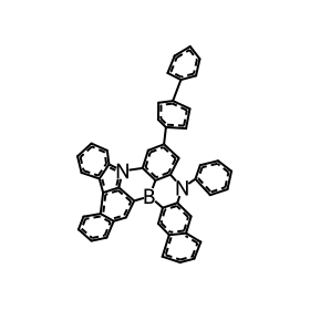 c1ccc(-c2ccc(-c3cc4c5c(c3)-n3c6ccccc6c6c7ccccc7cc(c63)B5c3cc5ccccc5cc3N4c3ccccc3)cc2)cc1